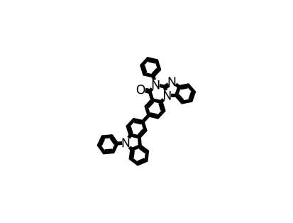 O=c1c2cc(-c3ccc4c(c3)c3ccccc3n4-c3ccccc3)ccc2n2c3ccccc3nc2n1-c1ccccc1